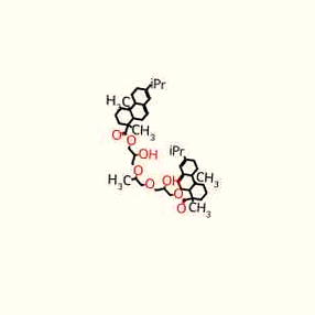 CC(COCC(O)COC(=O)C1(C)CCCC2(C)C3CCC(C(C)C)=CC3=CCC12)OCC(O)COC(=O)C1(C)CCCC2(C)C3CCC(C(C)C)=CC3=CCC12